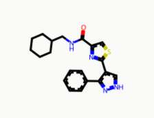 O=C(NCC1CCCCC1)c1csc(-c2c[nH]nc2-c2ccccc2)n1